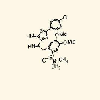 COc1cc(CC(=N)n2nc(-c3ccc(Cl)cc3)sc2=N)c([S+]([O-])N(C)C)cc1OC